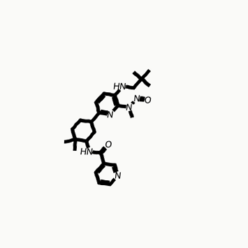 CN(N=O)c1nc(C2CCC(C)(C)C(NC(=O)c3cccnc3)C2)ccc1NCC(C)(C)C